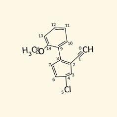 C#Cc1cc(Cl)ccc1-c1ccccc1OC